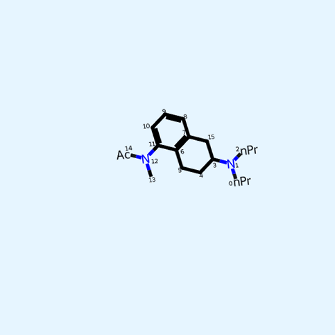 CCCN(CCC)C1CCc2c(cccc2N(C)C(C)=O)C1